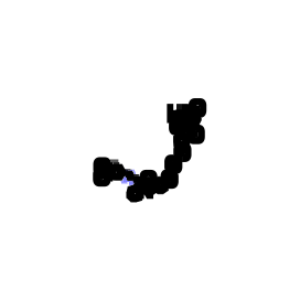 O=C1CCC(N2C(=O)c3ccc(OCCOCCOc4ccc(CN5C(=O)/C(=C/C=C/c6ccc([N+](=O)[O-])cc6)c6ccccc65)cc4)cc3C2=O)C(=O)N1